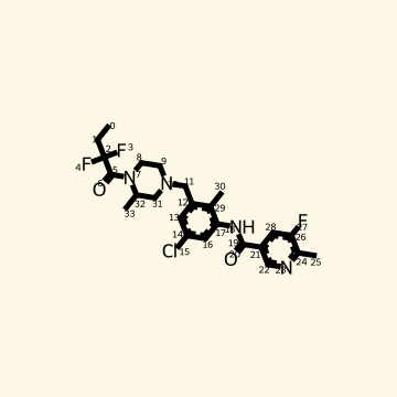 CCC(F)(F)C(=O)N1CCN(Cc2cc(Cl)cc(NC(=O)c3cnc(C)c(F)c3)c2C)CC1C